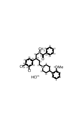 COc1ccccc1C1CCN(CCC(CN(C)C(=O)c2ccccc2)c2ccc(Cl)c(Cl)c2)CC1.Cl